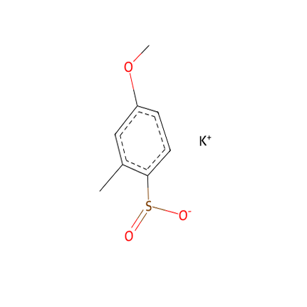 COc1ccc(S(=O)[O-])c(C)c1.[K+]